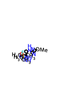 CN=[S@@]1(=O)C[C@@](C)(c2cc(Nc3ccnc4cc(OC)cnc34)ccc2F)NC(=N)C1(C)C